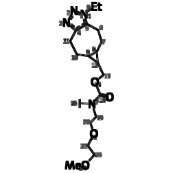 CCn1nnc2c1CCC1C(CC2)C1COC(=O)N(I)CCOCCOC